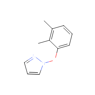 Cc1cccc(On2cc[c]n2)c1C